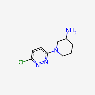 NC1CCCN(c2ccc(Cl)nn2)C1